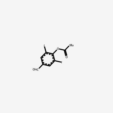 CC(C)(C)C(=O)Oc1c(I)cc(C=O)cc1I